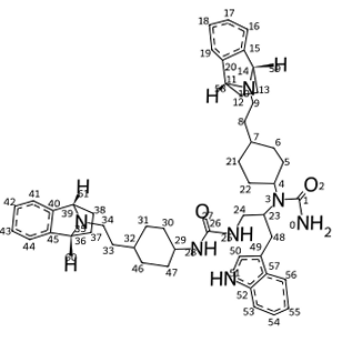 NC(=O)N(C1CCC(CCN2[C@@H]3CC[C@H]2c2ccccc23)CC1)C(CNC(=O)NC1CCC(CCN2[C@@H]3CC[C@H]2c2ccccc23)CC1)Cc1c[nH]c2ccccc12